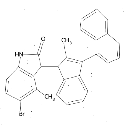 CC1=C(c2cccc3ccccc23)c2ccccc2C1C1C(=O)Nc2ccc(Br)c(C)c21